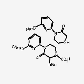 CCCCC1C(=O)N(c2cccc(OC)n2)CCN1C(=O)O.COc1cccc(N2CCNCC2=O)n1